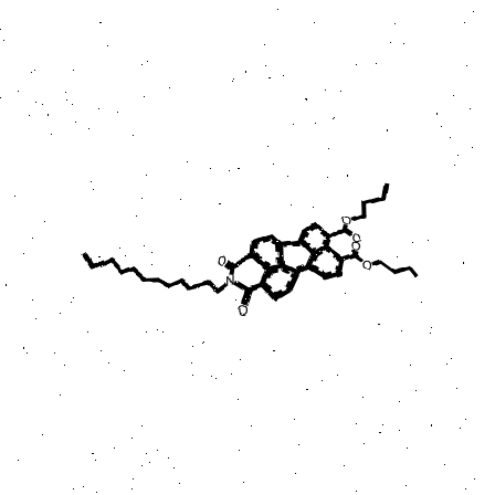 CCCCCCCCCCCCN1C(=O)c2ccc3c4ccc(C(=O)OCCCC)c5c(C(=O)OCCCC)ccc(c6ccc(c2c36)C1=O)c54